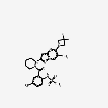 Cc1cn2nc([C@@H]3CCCCN3C(=O)c3cc(Cl)ccc3NS(C)(=O)=O)cc2nc1N1CC(F)(F)C1